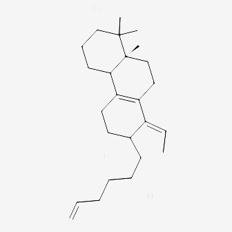 C[C@H](CCC=O)[C@H]1CC=C2C3=C(CC[C@@]21C)[C@@]1(C)CC[C@H](O)C(C)(C)[C@@H]1CC3